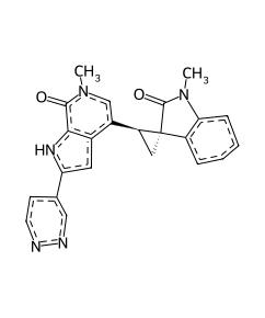 CN1C(=O)[C@@]2(C[C@H]2c2cn(C)c(=O)c3[nH]c(-c4ccnnc4)cc23)c2ccccc21